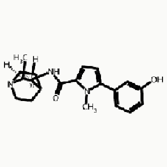 C[C@H]1[C@H](NC(=O)c2ccc(-c3cccc(O)c3)n2C)C2CCN1CC2